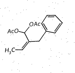 CC=C(Cc1ccccc1)C(OC(C)=O)OC(C)=O